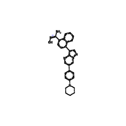 N/C(=N/O)c1ccc(-c2cnn3cc(-c4ccc(N5CCCCC5)cc4)cnc23)c2ccccc12